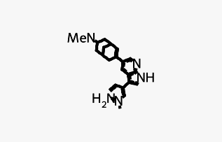 C=C/C(=C\N(C)N)c1c[nH]c2ncc(C3=CC4CC(C3)CC(NC)C4)cc12